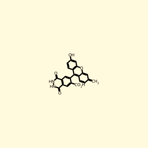 C=c1ccc2c(c1)Oc1cc(O)ccc1C=2c1cc2c(=O)[nH][nH]c(=O)c2cc1C(=O)O